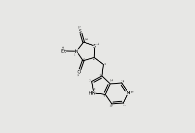 CCN1C(=O)C(Cc2c[nH]c3ccncc23)SC1=S